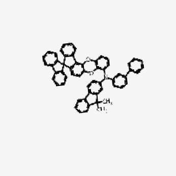 CC1(C)c2ccccc2-c2ccc(N(c3cccc(-c4ccccc4)c3)c3cccc4c3Oc3ccc5c(c3O4)-c3ccccc3C53c4ccccc4-c4ccccc43)cc21